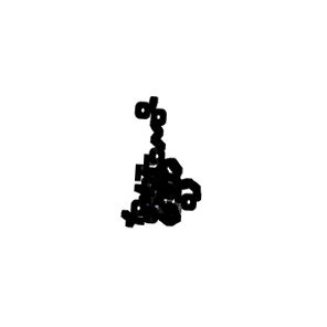 CC(=O)OCCCCOc1ccc(C2=CCCOC([C@@H]3CCCN3/C(=N\C(=O)OC(C)(C)C)NC(=O)OC(C)(C)C)=N2)cc1C(F)(F)F